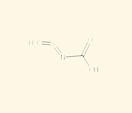 C=S=NC(C)=O